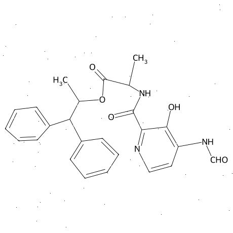 CC(NC(=O)c1nccc(NC=O)c1O)C(=O)OC(C)C(c1ccccc1)c1ccccc1